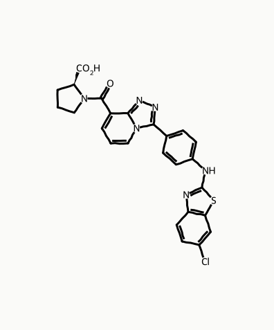 O=C(O)[C@@H]1CCCN1C(=O)c1cccn2c(-c3ccc(Nc4nc5ccc(Cl)cc5s4)cc3)nnc12